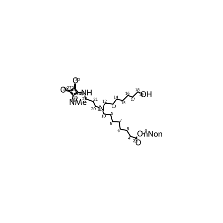 CCCCCCCCCOC(=O)CCCCCCCN(CCCCCCCO)CCCNc1c(NC)c(=O)c1=O